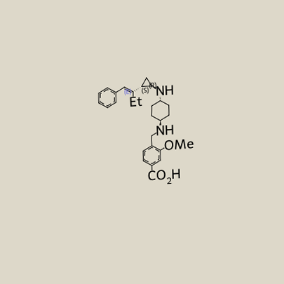 CC/C(=C\c1ccccc1)[C@@H]1C[C@H]1N[C@H]1CC[C@H](NCc2ccc(C(=O)O)cc2OC)CC1